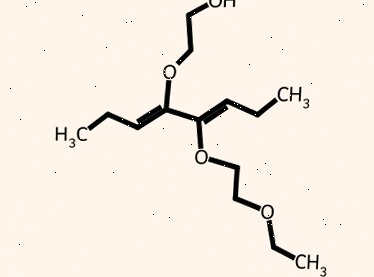 CCC=C(OCCO)C(=CCC)OCCOCC